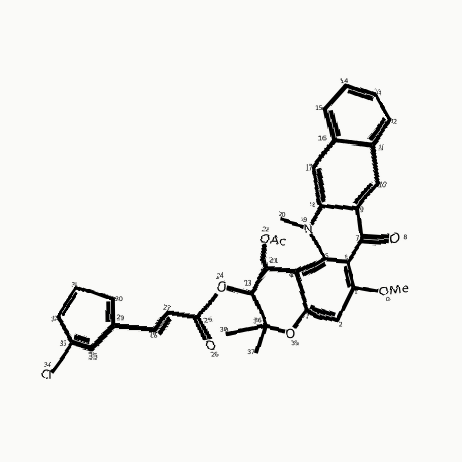 COc1cc2c(c3c1c(=O)c1cc4ccccc4cc1n3C)C(OC(C)=O)C(OC(=O)/C=C/c1cccc(Cl)c1)C(C)(C)O2